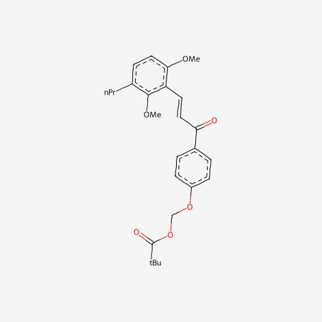 CCCc1ccc(OC)c(C=CC(=O)c2ccc(OCOC(=O)C(C)(C)C)cc2)c1OC